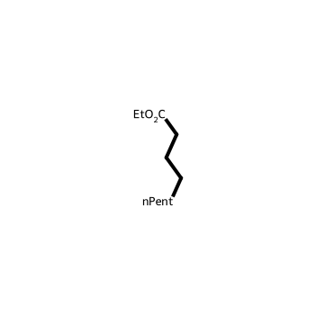 [CH2]COC(=O)CCCCCCCC